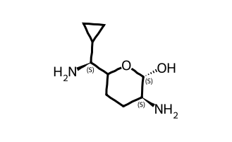 N[C@@H](C1CC1)C1CC[C@H](N)[C@@H](O)O1